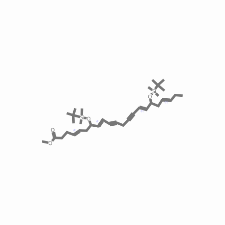 CC/C=C/CC(/C=C/C#CCC#C/C=C/C(C/C=C/CCC(=O)OC)O[Si](C)(C)C(C)(C)C)O[Si](C)(C)C(C)(C)C